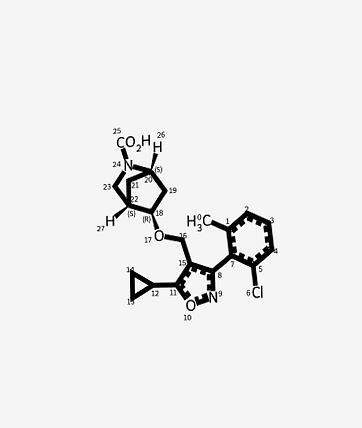 Cc1cccc(Cl)c1-c1noc(C2CC2)c1CO[C@@H]1C[C@@H]2C[C@H]1CN2C(=O)O